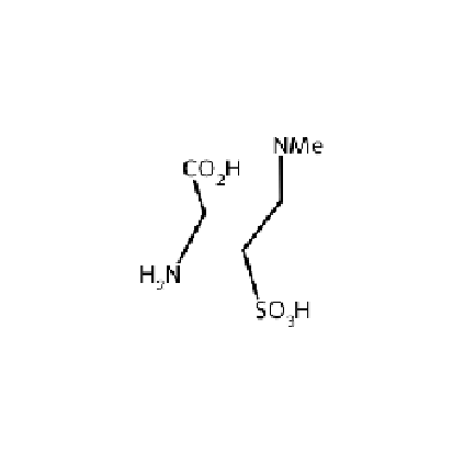 CNCCS(=O)(=O)O.NCC(=O)O